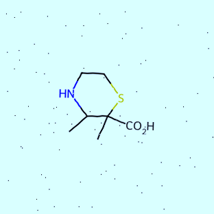 CC1NCCSC1(C)C(=O)O